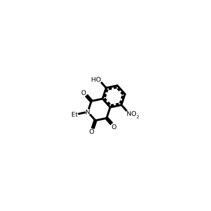 CCN1C(=O)C(=O)c2c([N+](=O)[O-])ccc(O)c2C1=O